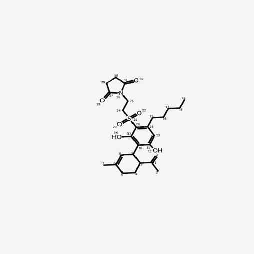 C=C(C)C1CCC(C)=CC1c1c(O)cc(CCCCC)c(S(=O)(=O)CCN2C(=O)CCC2=O)c1O